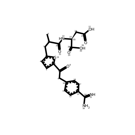 CC(Cc1ccc(C(=O)Cc2ccc(C(=N)N)cc2)s1)C(=O)N[C@@H](CC(=O)O)C(=O)O